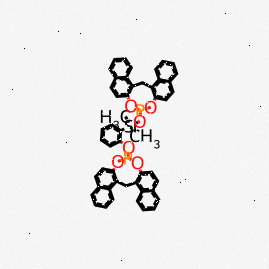 C[Si](C)(OP1Oc2ccc3ccccc3c2Cc2c(ccc3ccccc23)O1)c1ccccc1OP1Oc2ccc3ccccc3c2Cc2c(ccc3ccccc23)O1